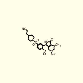 CCCN1CC2=C(C(=O)NC2c2cc(S(=O)(=O)N3CCC(CCC#N)CC3)ccc2OCC)N(C)C1